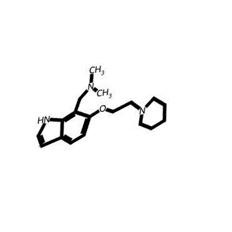 CN(C)Cc1c(OCCN2CCCCC2)ccc2[c]c[nH]c12